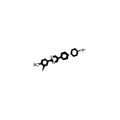 CCC[C@H]1CC[C@H](c2ccc(-c3cnc(-c4ccc(C#N)c(F)c4)nc3)cc2)CC1